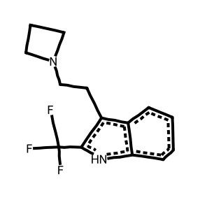 FC(F)(F)c1[nH]c2ccccc2c1CCN1CCC1